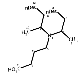 CCCCCCCCCCCC(C)N(CCCC(=O)O)C(C)CCCCCCCCCCC